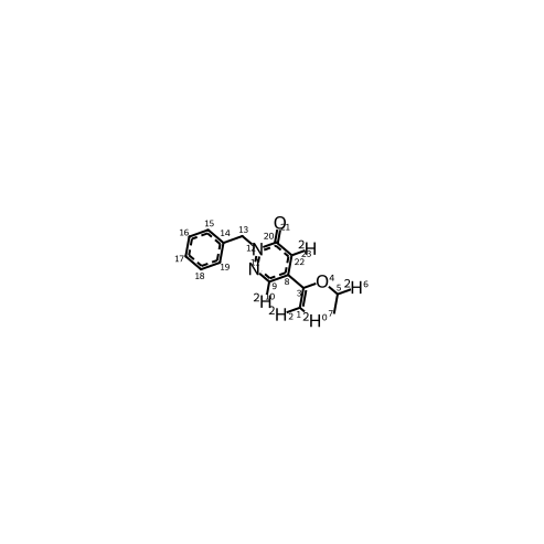 [2H]C([2H])=C(OC([2H])C)c1c([2H])nn(Cc2ccccc2)c(=O)c1[2H]